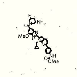 COC(=O)Nc1ccc(-c2ccc3cc(-c4nc5cc(C(=O)N6C[C@H](N)C[C@@H](F)C6)cc(OC)c5n4C)n(CC4CC4)c3n2)cc1